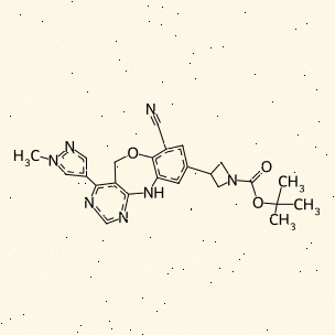 Cn1cc(-c2ncnc3c2COc2c(C#N)cc(C4CN(C(=O)OC(C)(C)C)C4)cc2N3)cn1